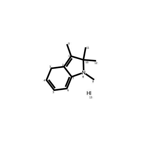 CC1=C2CC=CC=C2N(C)C1(C)C.I